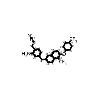 [N-]=[N+]=NCc1ccc(Cc2ccc3c(C(F)(F)F)c(OC4CCC(C(F)(F)F)CC4)ccc3c2)cc1N